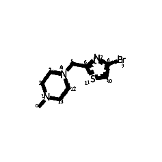 CN1CCN(Cc2nc(Br)cs2)CC1